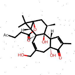 CC(=O)CCC(=O)O[C@@]12C[C@@H](C)[C@@]3(O)[C@@H](C=C(CO)C[C@]4(O)C(=O)C(C)=C[C@@H]34)[C@@H]1C2(C)C